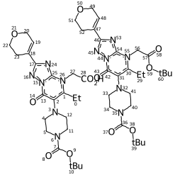 CCc1c(N2CCN(C(=O)OC(C)(C)C)CC2)c(=O)n2nc(C3=CCOCC3)nc2n1CC(=O)O.CCc1c(N2CCN(C(=O)OC(C)(C)C)CC2)c(=O)n2nc(C3=CCOCC3)nc2n1CC(=O)OC(C)(C)C